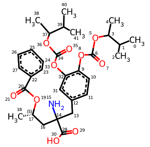 CC(C)C(C)OC(=O)Oc1ccc(CC(N)(C[C@H](C)OC(=O)c2ccccc2)C(=O)O)cc1OC(=O)OC(C)C(C)C